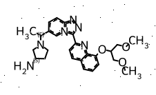 COCC(COC)Oc1cccc2ccc(-c3nnc4ccc([C@H](C)N5CC[C@H](N)C5)cn34)nc12